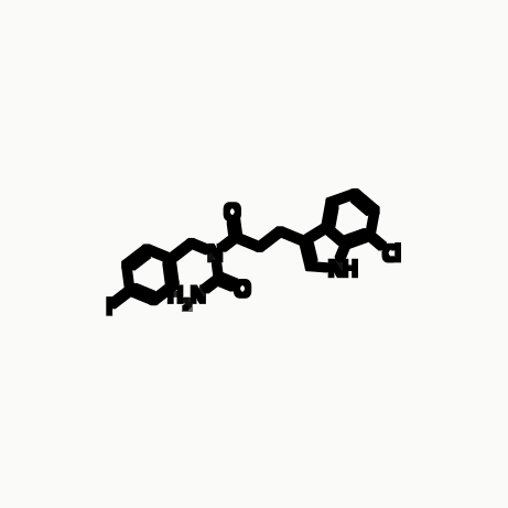 NC(=O)N(Cc1ccc(I)cc1)C(=O)CCc1c[nH]c2c(Cl)cccc12